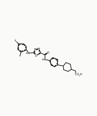 Cc1cc(F)ccc1Nc1nnc(C(=O)Nc2ccc(C3CCC(CC(=O)O)CC3)cc2)o1